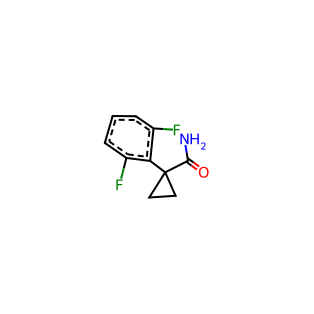 NC(=O)C1(c2c(F)cccc2F)CC1